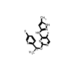 Cc1cc(Nc2nc(O[C@@H](C)c3ccc(F)cn3)ncc2F)n[nH]1